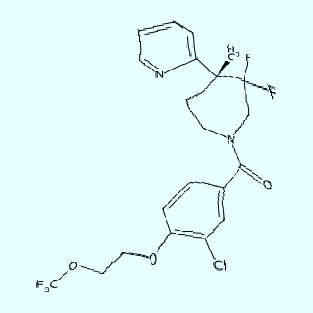 C[C@]1(c2ccccn2)CCN(C(=O)c2ccc(OCCOC(F)(F)F)c(Cl)c2)CC1(F)F